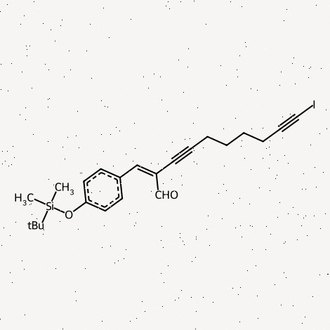 CC(C)(C)[Si](C)(C)Oc1ccc(/C=C(/C#CCCCCC#CI)C=O)cc1